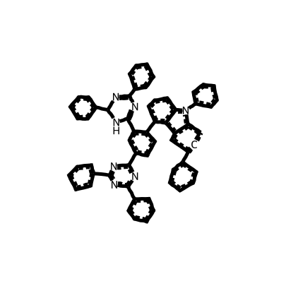 c1ccc(C2=NC(c3ccccc3)NC(c3cc(-c4nc(-c5ccccc5)nc(-c5ccccc5)n4)ccc3-c3cccc4c3c3cc(-c5ccccc5)ccc3n4-c3ccccc3)=N2)cc1